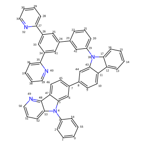 c1ccc(-n2c3cc(-c4ccc5c6ccccc6n(-c6cccc(-c7cc(-c8ccccn8)cc(-c8ccccn8)c7)c6)c5c4)ccc3c3ncccc32)cc1